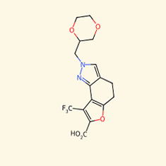 O=C(O)c1oc2c(c1C(F)(F)F)-c1nn(CC3COCCO3)cc1CC2